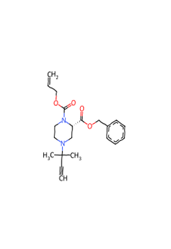 C#CC(C)(C)N1CCN(C(=O)OCC=C)[C@H](C(=O)OCc2ccccc2)C1